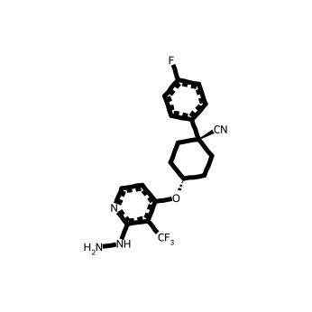 N#C[C@]1(c2ccc(F)cc2)CC[C@@H](Oc2ccnc(NN)c2C(F)(F)F)CC1